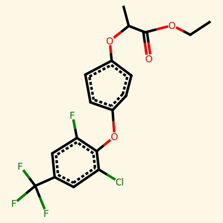 CCOC(=O)C(C)Oc1ccc(Oc2c(F)cc(C(F)(F)F)cc2Cl)cc1